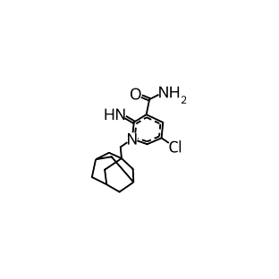 N=c1c(C(N)=O)cc(Cl)cn1CC12CC3CC(CC(C3)C1)C2